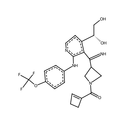 N=C(c1c([C@@H](O)CO)ccnc1Nc1ccc(OC(F)(F)F)cc1)C1CN(C(=O)C2=CCC2)C1